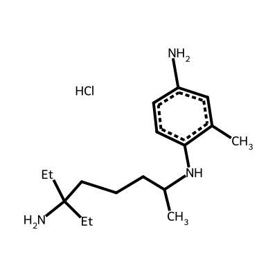 CCC(N)(CC)CCCC(C)Nc1ccc(N)cc1C.Cl